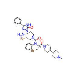 CN1CCC(C2CCN(C(=O)[C@H](CBr)N(C(=O)N3CCC(N)(n4nc(-c5ccccc5)[nH]c4=O)C(Br)C3)c3ccccc3)CC2)CC1